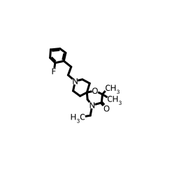 CCN1CC2(CCN(CCc3ccccc3F)CC2)OC(C)(C)C1=O